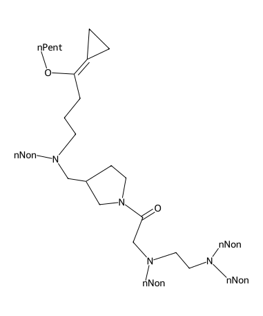 CCCCCCCCCN(CCCCCCCCC)CCN(CCCCCCCCC)CC(=O)N1CCC(CN(CCCCCCCCC)CCCC(OCCCCC)=C2CC2)C1